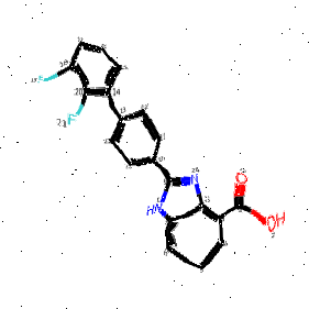 O=C(O)c1cccc2[nH]c(-c3ccc(-c4cccc(F)c4F)cc3)nc12